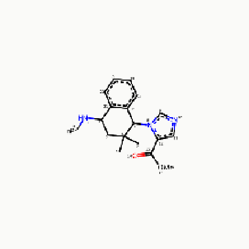 CCCNC1CC(C)(C)C(n2cncc2C(=O)OC)c2ccccc21